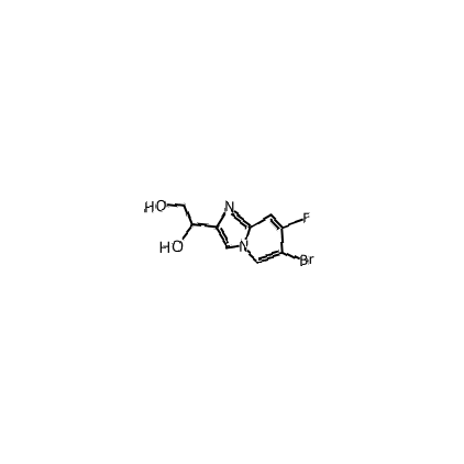 OCC(O)c1cn2cc(Br)c(F)cc2n1